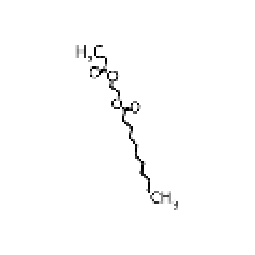 CCCCCCCCCCC(=O)OCCOC(=O)CC